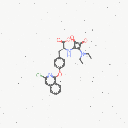 CCN(CC)c1c(N[C@@H](Cc2ccc(Oc3nc(Cl)cc4ccccc34)cc2)C(=O)O)c(=O)c1=O